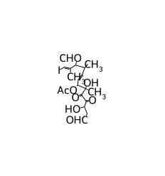 CC(=O)OC(/C=C/C(C)C(C=O)/C(C)=C/I)C(C)(O)C(=O)C(=O)C(O)CC=O